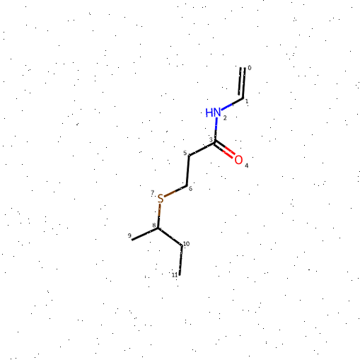 C=CNC(=O)CCSC(C)CC